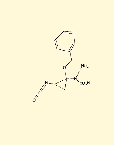 NN(C(=O)O)C1(OCc2ccccc2)CC1N=C=O